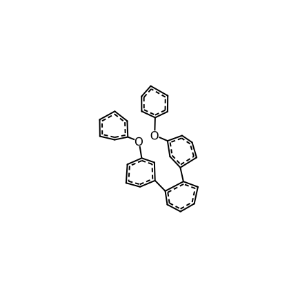 c1ccc(Oc2cccc(-c3ccccc3-c3cccc(Oc4ccccc4)c3)c2)cc1